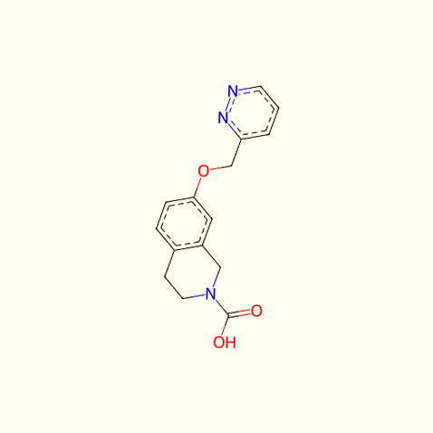 O=C(O)N1CCc2ccc(OCc3cccnn3)cc2C1